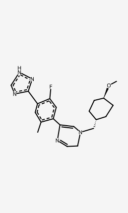 CO[C@H]1CC[C@H](CN2C=C(c3cc(F)c(-c4nc[nH]n4)cc3C)N=CC2)CC1